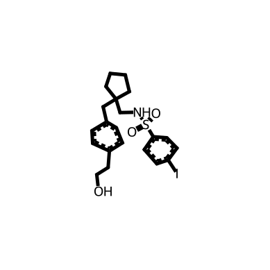 O=S(=O)(NCC1(Cc2ccc(CCO)cc2)CCCC1)c1ccc(I)cc1